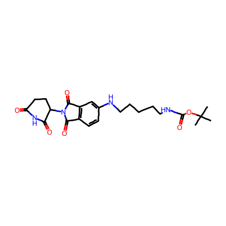 CC(C)(C)OC(=O)NCCCCCNc1ccc2c(c1)C(=O)N(C1CCC(=O)NC1=O)C2=O